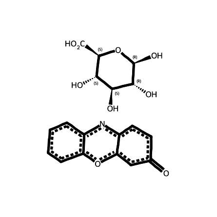 O=C(O)[C@H]1O[C@@H](O)[C@H](O)[C@@H](O)[C@@H]1O.O=c1ccc2nc3ccccc3oc-2c1